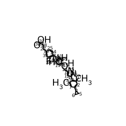 Cc1cc(C2CC2)cc(C)c1-c1cc(CO[C@@H]2C[C@@H]3C[C@H]2CN3c2ccc(CCC(=O)O)cc2F)[nH]n1